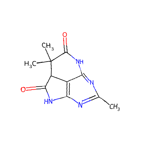 Cc1nc2c3c(n1)NC(=O)C(C)(C)C3C(=O)N2